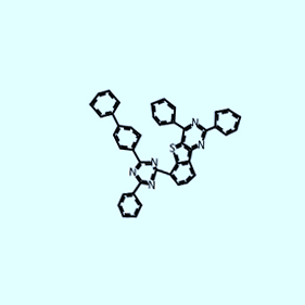 c1ccc(-c2ccc(-c3nc(-c4ccccc4)nc(-c4cccc5c4sc4c(-c6ccccc6)nc(-c6ccccc6)nc45)n3)cc2)cc1